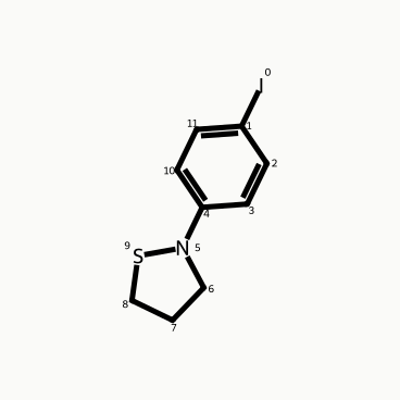 Ic1ccc(N2CCCS2)cc1